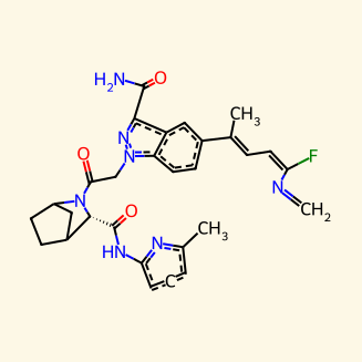 C=N/C(F)=C\C=C(/C)c1ccc2c(c1)c(C(N)=O)nn2CC(=O)N1C2CCC(C2)[C@H]1C(=O)Nc1cccc(C)n1